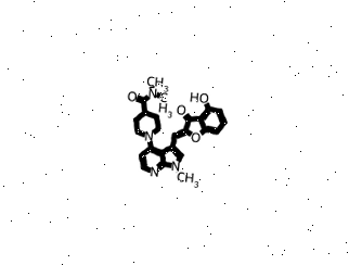 CN(C)C(=O)C1CCN(c2ccnc3c2c(/C=C2\Oc4cccc(O)c4C2=O)cn3C)CC1